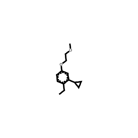 CCc1ccc(OCCOC)cc1C1CC1